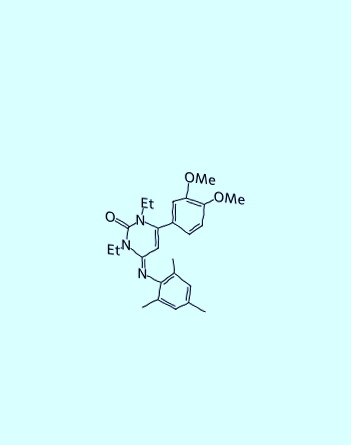 CCn1c(-c2ccc(OC)c(OC)c2)cc(=Nc2c(C)cc(C)cc2C)n(CC)c1=O